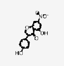 O=c1c(-c2ccc(O)cc2)coc2cc([N+](=O)[O-])cc(O)c12